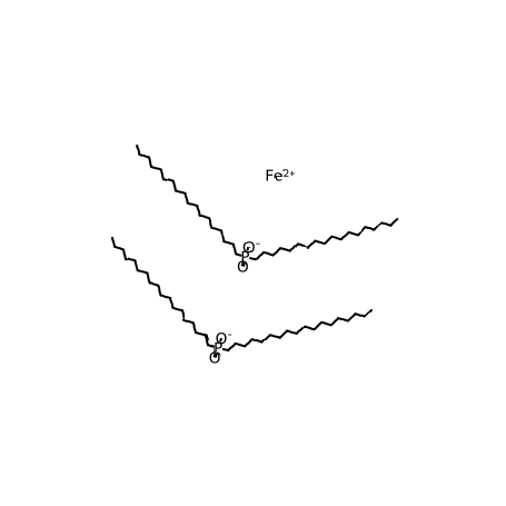 CCCCCCCCCCCCCCCCCCP(=O)([O-])CCCCCCCCCCCCCCCCCC.CCCCCCCCCCCCCCCCCCP(=O)([O-])CCCCCCCCCCCCCCCCCC.[Fe+2]